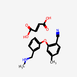 CNCc1cccc(Oc2cc(C)ccc2C#N)c1.O=C(O)C=CC(=O)O